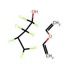 C=COC=C.OC(F)(F)C(F)(F)C(F)C(F)F